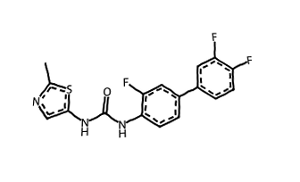 Cc1ncc(NC(=O)Nc2ccc(-c3ccc(F)c(F)c3)cc2F)s1